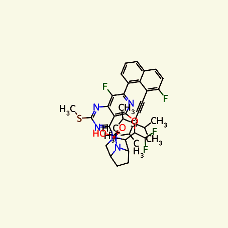 CSc1nc2c3c(nc(-c4cccc5ccc(F)c(C#C[Si](C(C)C)(C(C)C)C(C)C)c45)c(F)c3n1)OC(C(F)F)C1C3CCC(CN21)N3C(=O)O